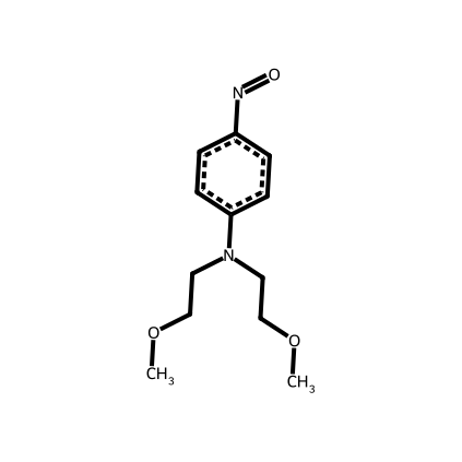 COCCN(CCOC)c1ccc(N=O)cc1